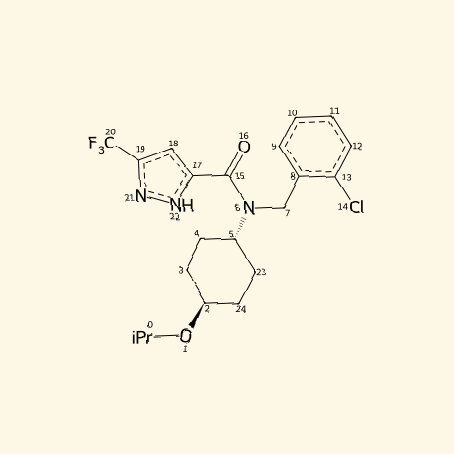 CC(C)O[C@H]1CC[C@H](N(Cc2ccccc2Cl)C(=O)c2cc(C(F)(F)F)n[nH]2)CC1